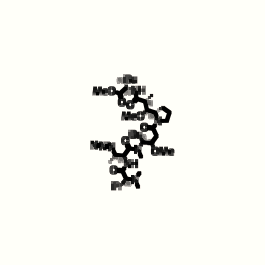 CC[C@H](C)[C@@H]([C@@H](CC(=O)N1CCC[C@H]1[C@H](OC)[C@@H](C)C(=O)N[C@H](C(=O)OC)[C@@H](C)CC)OC)N(C)C(=O)[C@@H](NC(=O)[C@H](C(C)C)N(C)C)[C@H](C)N=[N+]=[N-]